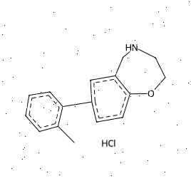 Cc1ccccc1-c1ccc2c(c1)CNCCO2.Cl